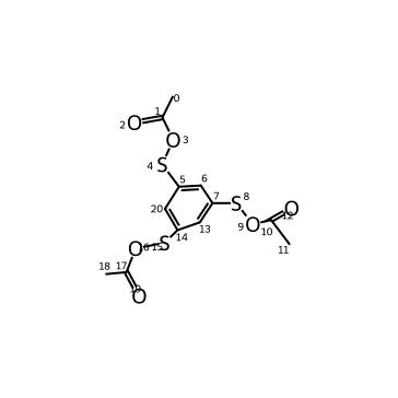 CC(=O)OSc1cc(SOC(C)=O)cc(SOC(C)=O)c1